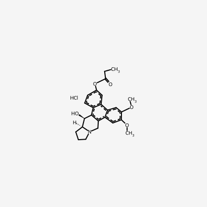 CCC(=O)Oc1ccc2c3c(c4cc(OC)c(OC)cc4c2c1)CN1CCC[C@H]1[C@H]3O.Cl